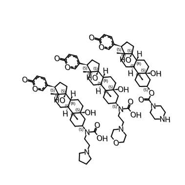 C[C@]12CC[C@H](N(CCN3CCCC3)C(=O)O)C[C@@]1(O)CC[C@@H]1[C@@H]2CC[C@]2(C)[C@@H](c3ccc(=O)oc3)CC[C@]12O.C[C@]12CC[C@H](N(CCN3CCOCC3)C(=O)O)C[C@@]1(O)CC[C@@H]1[C@@H]2CC[C@]2(C)[C@@H](c3ccc(=O)oc3)CC[C@]12O.C[C@]12CC[C@H](OC(=O)N3CCNCC3)C[C@@]1(O)CC[C@@H]1[C@@H]2CC[C@]2(C)[C@@H](c3ccc(=O)oc3)CC[C@]12O